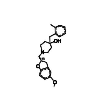 COc1ccc2c(c1)C[C@H](CN1CCC(O)(Cc3ccccc3C)CC1)O2